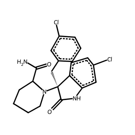 NC(=O)C1CCCCN1[C@]1(Cc2cccc(Cl)c2)C(=O)Nc2cc(Cl)ccc21